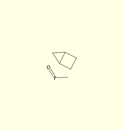 C1CC2CC12.CP=O